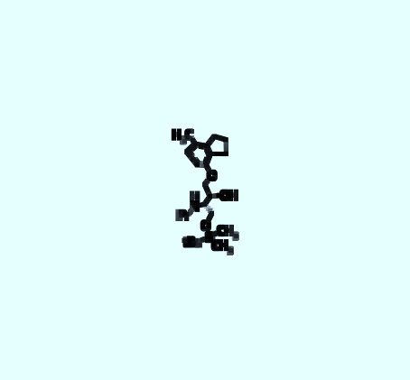 Cc1ccc(OC[C@@H](O)[C@H](CO[Si](C)(C)C(C)(C)C)NC(C)C)c2c1CCC2